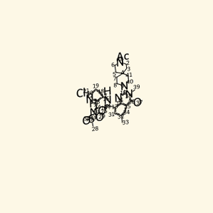 CC(=O)N1CCC2(CC1)CCN(c1nc3c([C@@H](C)Nc4ccc(Cl)nc4C(=O)NS(C)(=O)=O)cc(C)cc3c(=O)n1C)CC2